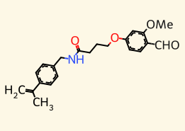 C=C(C)c1ccc(CNC(=O)CCCOc2ccc(C=O)c(OC)c2)cc1